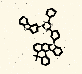 CC1(C)c2ccccc2-c2c3c1cccc3cc1c2c2ccccc2n1-c1cccc(-c2nc(-c3ccccc3)nc(-c3ccc4oc5ccccc5c4c3)n2)c1